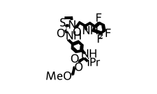 COCCOC(=O)C(Nc1ccc(CNC(=O)[C@@H]2SCCN2C(=O)CC(N)Cc2cc(F)c(F)cc2F)cc1)C(C)C